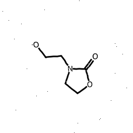 [O]CCN1CCOC1=O